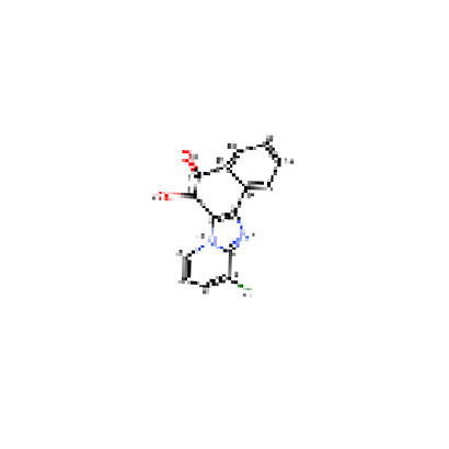 O=C1C(=O)c2c(nc3c(Cl)cccn23)-c2ccccc21